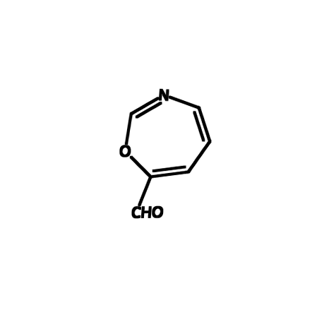 O=CC1=CC=CN=CO1